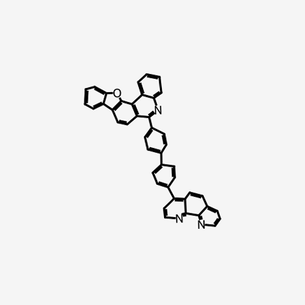 c1cnc2c(c1)ccc1c(-c3ccc(-c4ccc(-c5nc6ccccc6c6c5ccc5c7ccccc7oc56)cc4)cc3)ccnc12